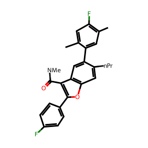 CCCc1cc2oc(-c3ccc(F)cc3)c(C(=O)NC)c2cc1-c1cc(C)c(F)cc1C